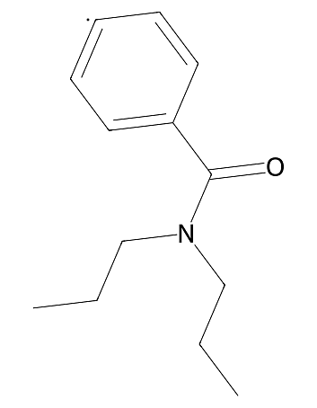 CCCN(CCC)C(=O)c1cc[c]cc1